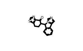 O=C1c2ncsc2CCC1C1c2ccccc2-c2cncn21